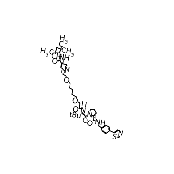 CC1(C)CC(C)(C)C1NC(=O)c1cnn(CCOCCCCCOCC(=O)N[C@H](C(=O)N2CCC[C@H]2C(=O)NCc2ccc(-c3cncs3)cc2)C(C)(C)C)c1